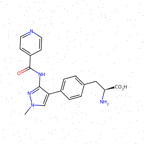 Cn1cc(-c2ccc(C[C@H](N)C(=O)O)cc2)c(NC(=O)c2ccncc2)n1